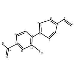 C=Cc1ccc(-c2ccc(C(=C)C)cc2F)cc1